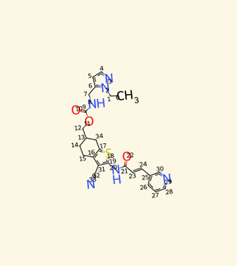 CCn1nccc1CNC(=O)OCC1CCc2c(sc(NC(=O)C=Cc3cccnc3)c2C#N)C1